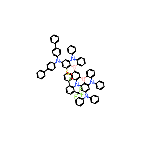 Fc1c2c(cc3c1N(c1c(-c4ccccc4)cccc1C(F)(F)F)c1cc(N(c4ccccc4)c4ccccc4)cc4c1B3c1ccccc1N4c1ccccc1)B1c3ccccc3N(c3ccccc3)c3cc(N(c4ccc(-c5ccccc5)cc4)c4ccc(-c5ccccc5)cc4)cc(c31)S2